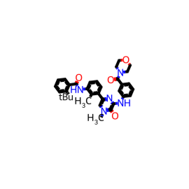 Cc1c(NC(=O)c2ccccc2C(C)(C)C)cccc1-c1cn(C)c(=O)c(Nc2cccc(C(=O)N3CCOCC3)c2)n1